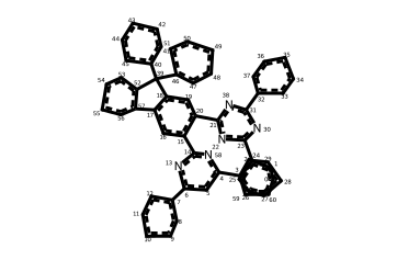 c1ccc(-c2cc(-c3ccccc3)nc(-c3cc4c(cc3-c3nc(-c5ccccc5)nc(-c5ccccc5)n3)C(c3ccccc3)(c3ccccc3)c3ccccc3-4)n2)cc1